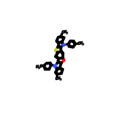 Cc1ccc(-n2c3cc(C)ccc3c3oc4cc5c(cc4c32)sc2c3ccc(C)cc3n(-c3ccc(C)cc3)c52)cc1